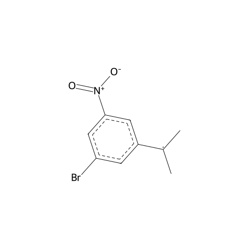 C[C](C)c1cc(Br)cc([N+](=O)[O-])c1